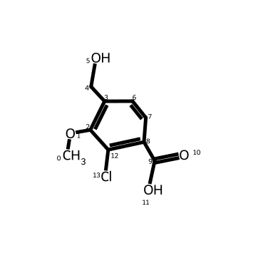 COc1c(CO)ccc(C(=O)O)c1Cl